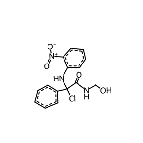 O=C(NCO)C(Cl)(Nc1ccccc1[N+](=O)[O-])c1ccccc1